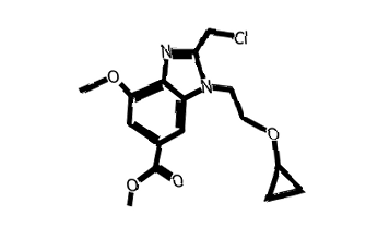 COC(=O)c1cc(OC)c2nc(CCl)n(CCOC3CC3)c2c1